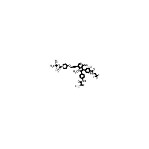 C=C(F)C(=O)Nc1ccc(-c2c(-c3ccc(C(=O)NCC(F)(F)F)c(Cl)c3)c3c(N)ncc(C#CCOC4CCN(C(=O)OC(C)(C)C)CC4)c3n2C)cc1